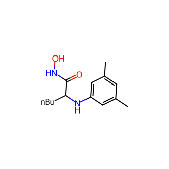 CCCCC(Nc1cc(C)cc(C)c1)C(=O)NO